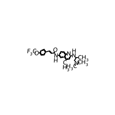 Cc1cc(NC(C)CN(C)C)nc2ccc(NC(=O)C=Cc3ccc(OC(F)(F)F)cc3)cc12